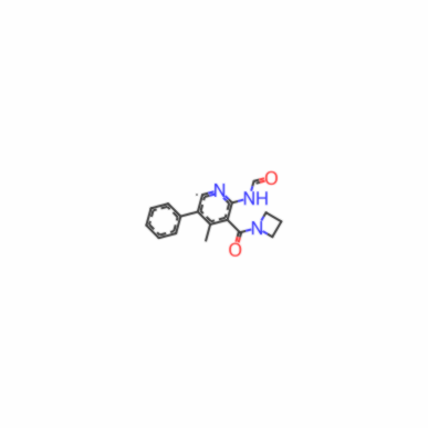 Cc1c(-c2ccccc2)[c]nc(NC=O)c1C(=O)N1CCC1